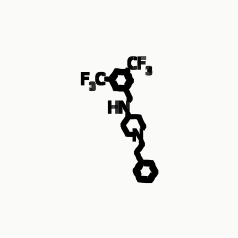 FC(F)(F)c1cc(CNC2CCN(CCc3ccccc3)CC2)cc(C(F)(F)F)c1